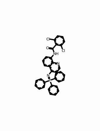 O=C(Nc1cccc2c(N=P(c3ccccc3)(c3ccccc3)c3ccccc3)ccnc12)c1c(Cl)cccc1Cl